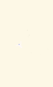 C(=Cc1ccccc1)SN(c1ccccc1)c1ccccc1